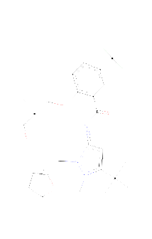 Cn1c(C(C)(C)C)cc(=NC(=O)c2cc(C(F)(F)F)ccc2OCC(C)(C)CO)n1C[C@H]1CCCO1